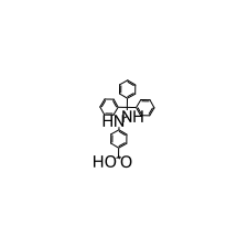 O=C(O)c1ccc(NNC(c2ccccc2)(c2ccccc2)c2ccccc2)cc1